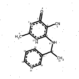 Cc1nc(=O)c(C#N)c(NC(C)c2cccnc2)[nH]1